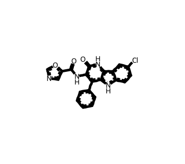 O=C(Nc1c(-c2ccccc2)c2[nH]c3ccc(Cl)cc3c2[nH]c1=O)c1cnco1